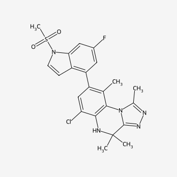 Cc1c(-c2cc(F)cc3c2ccn3S(C)(=O)=O)cc(Cl)c2c1-n1c(C)nnc1C(C)(C)N2